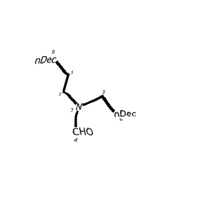 CCCCCCCCCCCCN(C=O)CCCCCCCCCCC